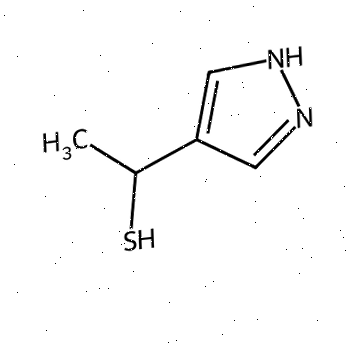 CC(S)c1cn[nH]c1